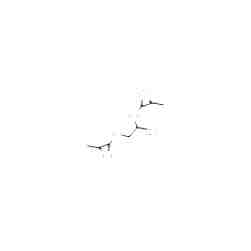 CCC(COC1OC1C)OC1OC1C